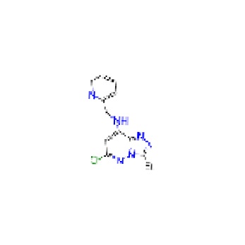 CCc1nnc2c(NCc3ccccn3)cc(Cl)nn12